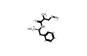 CC(=O)SCC(C)C(=O)N[C@@H](Cc1ccccc1)C(=O)O